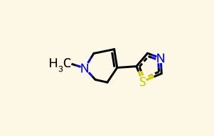 CN1CC=C(c2cncs2)CC1